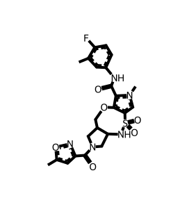 Cc1cc(C(=O)N2CC3COc4c(cn(C)c4C(=O)Nc4ccc(F)c(C)c4)S(=O)(=O)NC3C2)no1